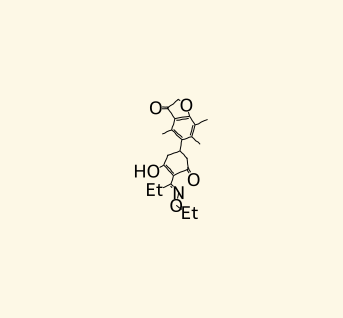 CCON=C(CC)C1=C(O)CC(c2c(C)c(C)c3c(c2C)C(=O)CO3)CC1=O